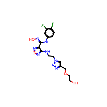 OCCOCc1cn(CCNc2nonc2C(=NO)Nc2ccc(F)c(Br)c2)nn1